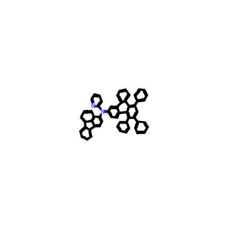 c1ccc(-c2cc(-c3ccccc3)c3c4ccccc4c4cc(N(c5ccccn5)c5ccc6c7c(cccc57)-c5ccccc5-6)ccc4c3c2-c2ccccc2)cc1